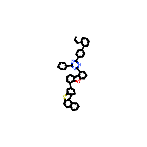 C/C=C\c1ccccc1-c1ccc(-c2nc(-c3ccccc3)nc(-c3cccc4oc5c(-c6ccc7c(c6)sc6ccc8ccccc8c67)cccc5c34)n2)cc1